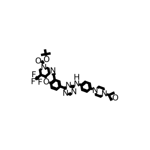 CC(C)(C)OC(=O)N1CCC(Oc2ccc(-c3ncnc(Nc4ccc(N5CCN(C6COC6)CC5)cc4)n3)cc2C#N)C(C(F)(F)F)C1